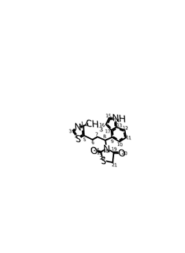 Cc1ncsc1CCC(c1cccc2[nH]ccc12)N1C(=O)CSC1=O